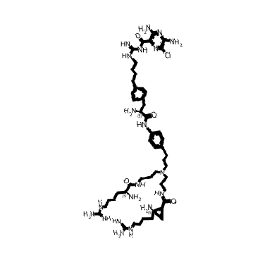 N=C(N)NCCCC[C@H](N)C(=O)NCCCN(CCCNC(=O)C1C[C@@]1(N)CCCCNC(=N)N)CCCc1ccc(NC(=O)[C@@H](N)Cc2ccc(CCCCNC(=N)NC(=O)c3nc(Cl)c(N)nc3N)cc2)cc1